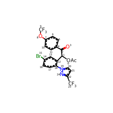 CC(=O)OC(C(=O)c1ccc(OC(F)(F)F)cc1)c1cc(Br)ccc1-n1ccc(C(F)(F)F)n1